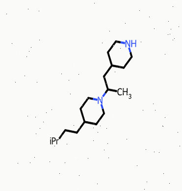 CC(C)CCC1CCN(C(C)CC2CCNCC2)CC1